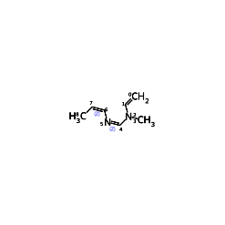 C=CN(C)/C=N\C=C/C